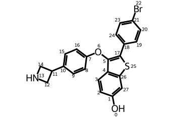 Oc1ccc2c(Oc3ccc(C4CNC4)cc3)c(-c3ccc(Br)cc3)sc2c1